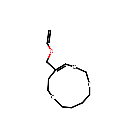 C=COCC1=CCCCCCCCCCC1